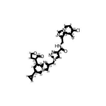 O=C(NCc1ncn2ccc(Cl)c(F)c12)c1cn(Cc2cn3cc(C4CC4)cc(C4CCOC4=O)c3n2)nn1